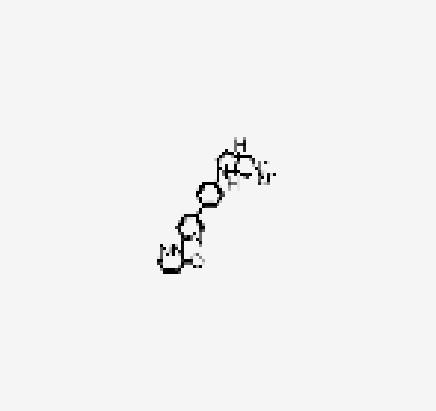 C[N@@+]1([O-])C[C@H]2CCN(c3ccc(-c4ccc(-n5ncccc5=O)nc4)cc3)[C@H]2C1